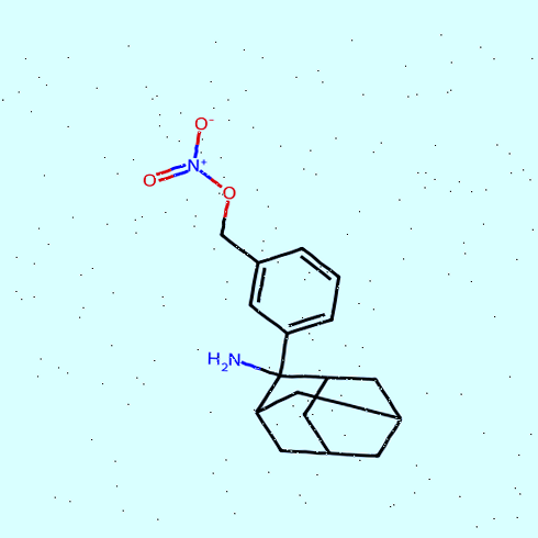 NC1(c2cccc(CO[N+](=O)[O-])c2)C2CC3CC(C2)CC1C3